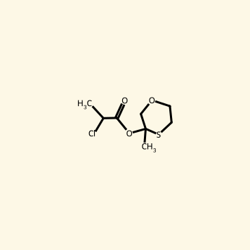 CC(Cl)C(=O)OC1(C)COCCS1